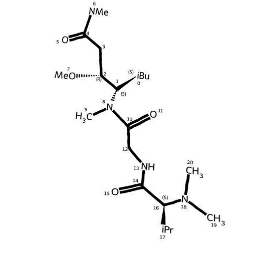 CC[C@H](C)[C@@H]([C@@H](CC(=O)NC)OC)N(C)C(=O)CNC(=O)[C@H](C(C)C)N(C)C